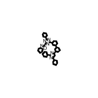 c1ccc(-c2cc(-c3cccc(-c4cccc(-c5nc(-c6ccccc6)nc(-c6nc7ccccc7o6)n5)c4)c3)nc(-c3ccccc3)n2)cc1